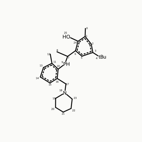 Cc1cc(C(C)(C)C)cc(C(C)Pc2c(C)cccc2CN2CCCCC2)c1O